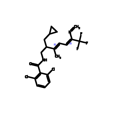 C=N/C(=C\C=C(/C)C(CNC(=O)c1c(Cl)cccc1Cl)CC1CC1)C(F)(F)F